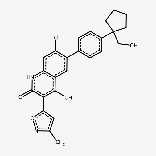 Cc1cc(-c2c(O)c3cc(-c4ccc(C5(CO)CCCC5)cc4)c(Cl)cc3[nH]c2=O)on1